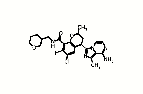 Cc1nc([C@H]2CC(C)Oc3c2cc(Cl)c(F)c3C(=O)NCC2CCCOC2)n2ccnc(N)c12